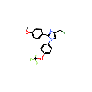 COc1ccc(-c2nc(CCl)cn2-c2ccc(OC(F)(F)F)cc2)cc1